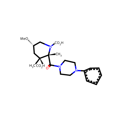 CO[C@@H]1CN(C(=O)O)[C@](C)(C(=O)N2CCN(c3ccccc3)CC2)[C@@](C)(C(=O)O)C1